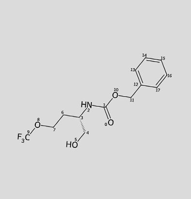 O=C(N[C@H](CO)CCOC(F)(F)F)OCc1ccccc1